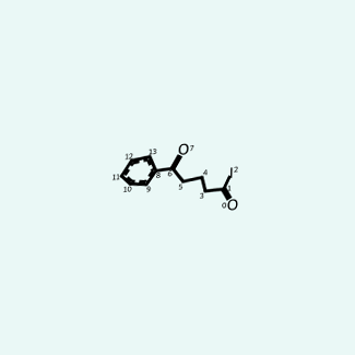 O=C(I)CCCC(=O)c1ccccc1